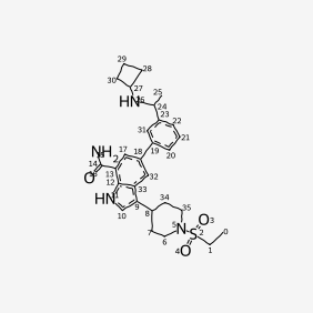 CCS(=O)(=O)N1CCC(c2c[nH]c3c(C(N)=O)cc(-c4cccc(C(C)NC5CCC5)c4)cc23)CC1